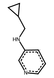 [c]1ccncc1NCC1CC1